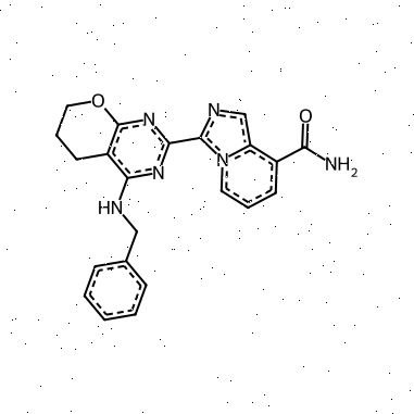 NC(=O)c1cccn2c(-c3nc(NCc4ccccc4)c4c(n3)OCCC4)ncc12